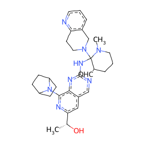 C[C@@H](O)c1cc2cnc(NC3(N4CCc5ncccc5C4)C(C=O)CCCN3C)nc2c(N2C3CCC2CC3)n1